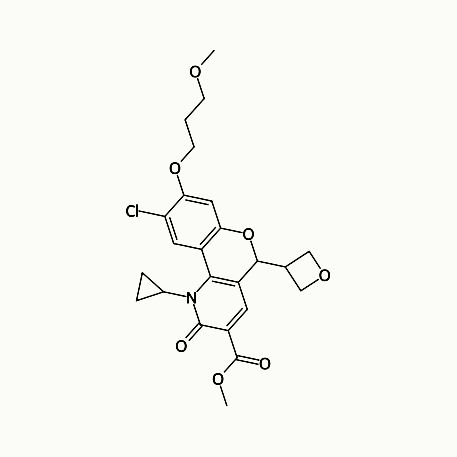 COCCCOc1cc2c(cc1Cl)-c1c(cc(C(=O)OC)c(=O)n1C1CC1)C(C1COC1)O2